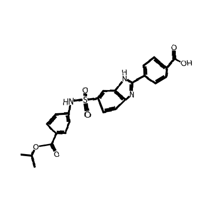 CC(C)OC(=O)c1ccc(NS(=O)(=O)c2ccc3nc(-c4ccc(C(=O)O)cc4)[nH]c3c2)cc1